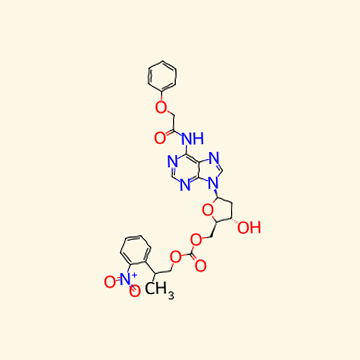 CC(COC(=O)OC[C@H]1O[C@@H](n2cnc3c(NC(=O)COc4ccccc4)ncnc32)C[C@@H]1O)c1ccccc1[N+](=O)[O-]